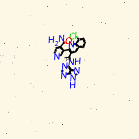 C[C@H](Nc1ncnc2[nH]cnc12)c1cc2cccc(Cl)c2nc1-c1cnccc1C(N)=O